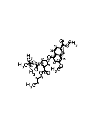 CCCCOC(=O)[C@@H]1C[C@@H](Oc2cc(OC)cc3nc(C(=O)OC)ccc23)CN1C(=O)OC(C)(C)C